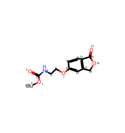 CC(C)(C)OC(=O)NCCOc1ccc2c(c1)COC2=O